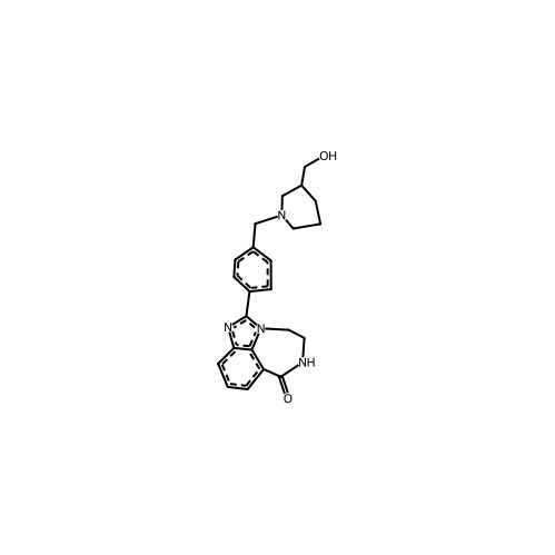 O=C1NCCn2c(-c3ccc(CN4CCCC(CO)C4)cc3)nc3cccc1c32